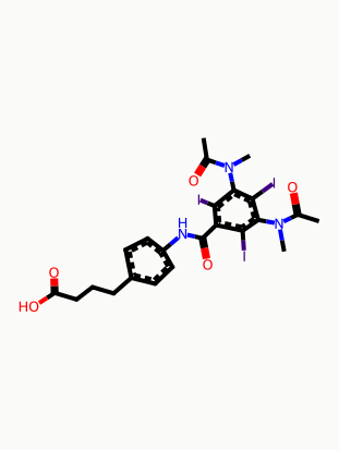 CC(=O)N(C)c1c(I)c(C(=O)Nc2ccc(CCCC(=O)O)cc2)c(I)c(N(C)C(C)=O)c1I